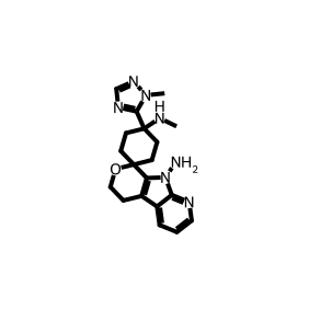 CNC1(c2ncnn2C)CCC2(CC1)OCCc1c2n(N)c2ncccc12